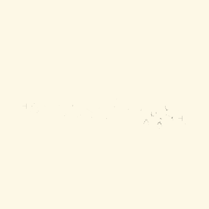 C1CCCCC1.C=C(C)C(=O)OC(=O)CCCCCCCC=CCCCCCCCC